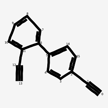 C#Cc1ccc(-c2ccccc2C#C)cc1